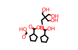 CCC(CO)(CO)CO.O=C(O)C1CCCC1.O=C(O)C1CCCC1.O=CO